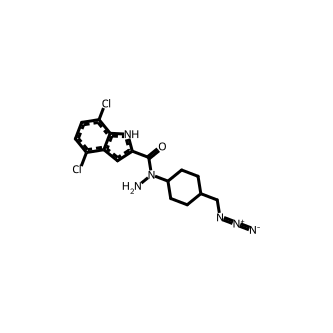 [N-]=[N+]=NCC1CCC(N(N)C(=O)c2cc3c(Cl)ccc(Cl)c3[nH]2)CC1